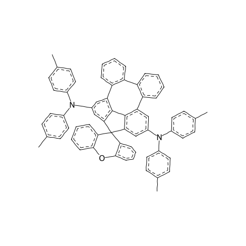 Cc1ccc(N(c2ccc(C)cc2)c2cc3c4c(c2)C2(c5ccccc5Oc5ccccc52)c2cc(N(c5ccc(C)cc5)c5ccc(C)cc5)cc(c2-4)-c2ccccc2-c2ccccc2-3)cc1